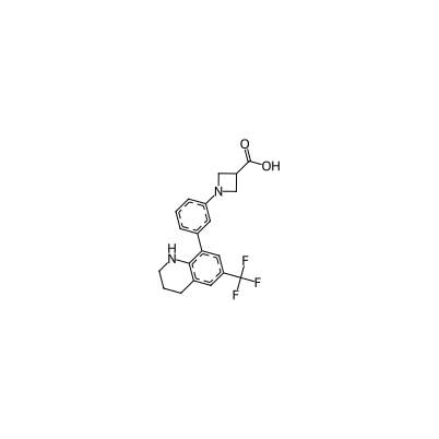 O=C(O)C1CN(c2cccc(-c3cc(C(F)(F)F)cc4c3NCCC4)c2)C1